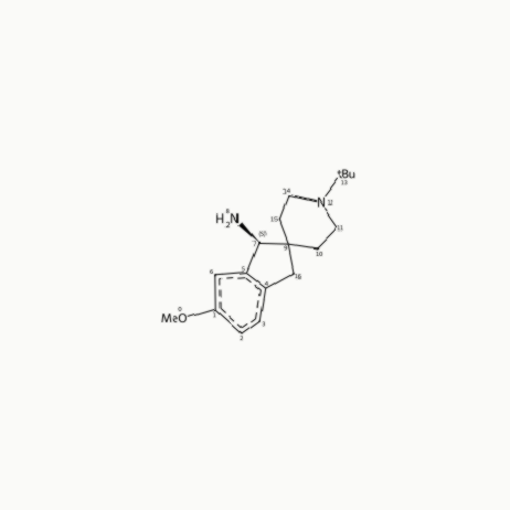 COc1ccc2c(c1)[C@@H](N)C1(CCN(C(C)(C)C)CC1)C2